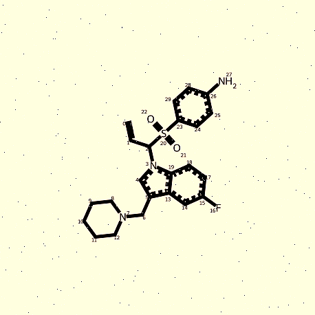 C=CC(n1cc(CN2CCCCC2)c2cc(F)ccc21)S(=O)(=O)c1ccc(N)cc1